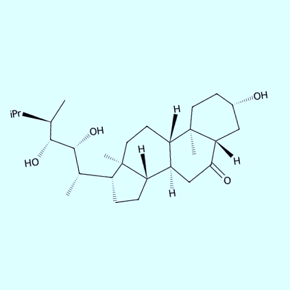 CC(C)[C@@H](C)[C@@H](O)[C@H](O)[C@@H](C)[C@H]1CC[C@H]2[C@@H]3CC(=O)[C@H]4C[C@@H](O)CC[C@]4(C)[C@H]3CC[C@]12C